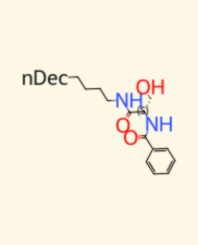 CCCCCCCCCCCCCCNC(=O)[C@H](CO)NC(=O)c1ccccc1